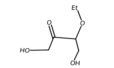 CCOC(CO)C(=O)CO